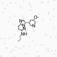 CCCNc1ccc2ncc(-c3cncc(OC)c3)n2n1